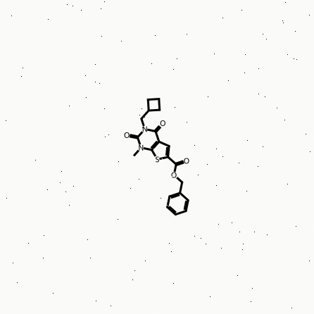 Cn1c(=O)n(CC2CCC2)c(=O)c2cc(C(=O)OCc3ccccc3)sc21